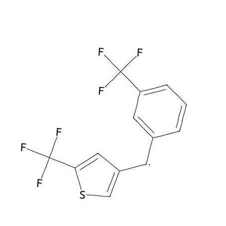 FC(F)(F)c1cccc([CH]c2csc(C(F)(F)F)c2)c1